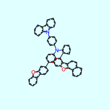 c1ccc(N(c2ccc(-c3ccc4c(c3)oc3ccccc34)cc2)c2ccc(-n3c4ccccc4c4ccccc43)cc2)c(-c2cccc3oc4c5ccccc5ccc4c23)c1